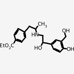 CCOC(=O)c1ccc(CC(C)NCC(O)c2ccc(O)c(CO)c2)cc1